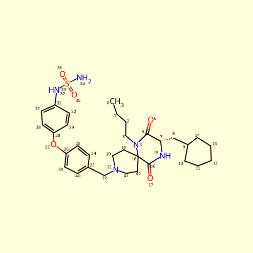 CCCCN1C(=O)[C@H](CC2CCCCC2)NC(=O)C12CCN(Cc1ccc(Oc3ccc(NS(N)(=O)=O)cc3)cc1)CC2